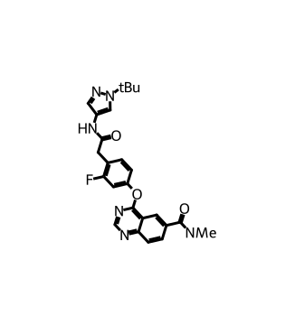 CNC(=O)c1ccc2ncnc(Oc3ccc(CC(=O)Nc4cnn(C(C)(C)C)c4)c(F)c3)c2c1